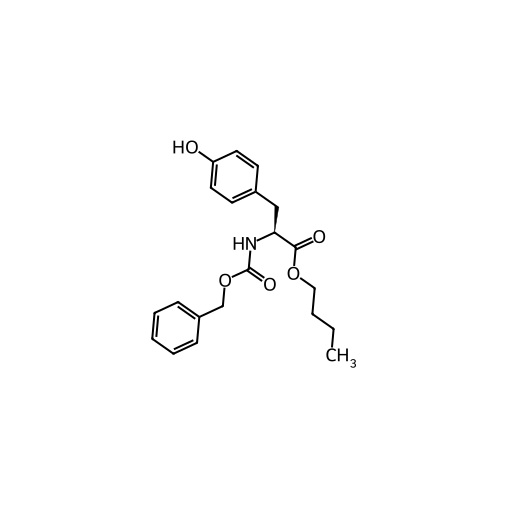 CCCCOC(=O)[C@H](Cc1ccc(O)cc1)NC(=O)OCc1ccccc1